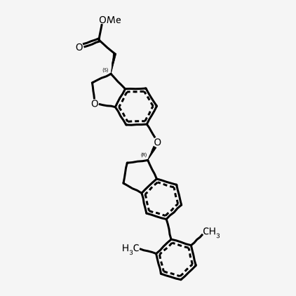 COC(=O)C[C@@H]1COc2cc(O[C@@H]3CCc4cc(-c5c(C)cccc5C)ccc43)ccc21